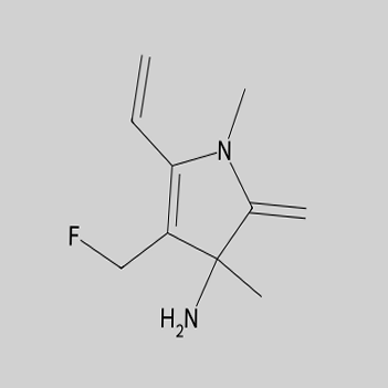 C=CC1=C(CF)C(C)(N)C(=C)N1C